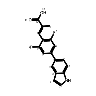 C/C(=C\c1c(F)cc(-c2ccc3[nH]ccc3c2)cc1F)C(=O)O